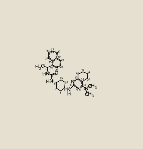 CC(NC(=O)N[C@H]1CC[C@@H](Nc2nc3c(c(N(C)C)n2)CCCC3)CC1)c1cccc2ccccc12